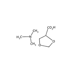 CN(C)C.O=C(O)C1COCO1